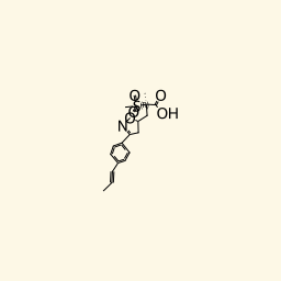 CC#Cc1ccc(C2=NOC(C[C@](C)(C(=O)O)S(C)(=O)=O)C2)cc1